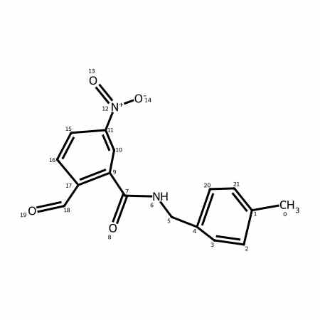 Cc1ccc(CNC(=O)c2cc([N+](=O)[O-])ccc2C=O)cc1